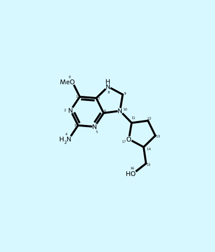 COc1nc(N)nc2c1NCN2C1CCC(CO)O1